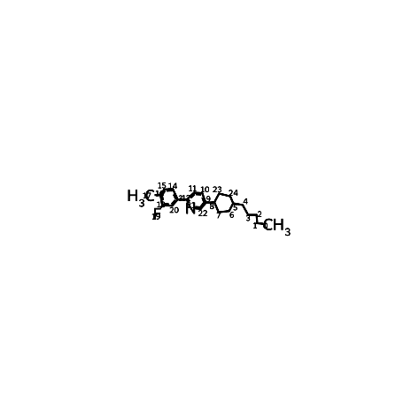 CCCCCC1CCC(c2ccc(-c3ccc(C)c(F)c3)nc2)CC1